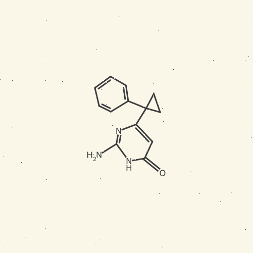 Nc1nc(C2(c3ccccc3)CC2)cc(=O)[nH]1